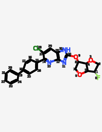 F[C@H]1COC2C1OC[C@H]2Oc1nc2nc(-c3ccc(-c4ccccc4)cc3)c(Cl)cc2[nH]1